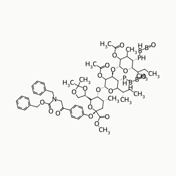 CC[C@H](C)C1O[C@H](O[C@H]2C([C@H]3COC(C)(C)O3)O[C@@](Oc3ccc(C(=O)CN(Cc4ccccc4)C(=O)OCc4ccccc4)cc3)(C(=O)OC)C[C@H]2C)C(OC(C)=O)[C@@H](O[C@H]2O[C@@H]([C@@H](C)CC)[C@@H](PBB=O)C(C)C2OC(C)=O)[C@@H]1PBB=O